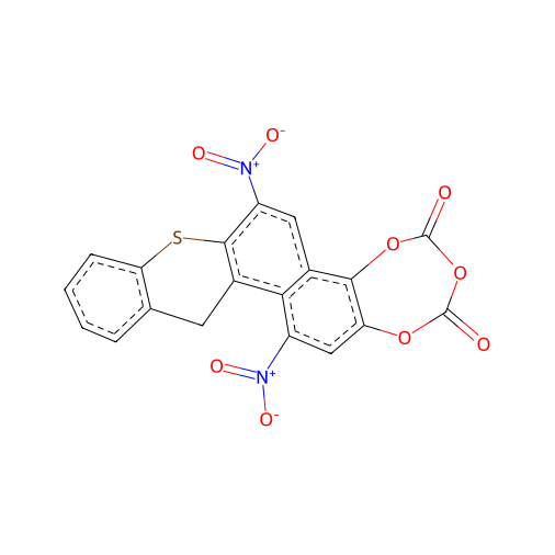 O=C1OC(=O)Oc2c(cc([N+](=O)[O-])c3c4c(c([N+](=O)[O-])cc23)Sc2ccccc2C4)O1